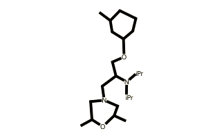 CC1CCCC(OCC(CN2CC(C)OC(C)C2)N(C(C)C)C(C)C)C1